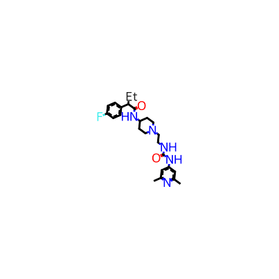 CCC(C(=O)NC1CCN(CCNC(=O)Nc2cc(C)nc(C)c2)CC1)c1ccc(F)cc1